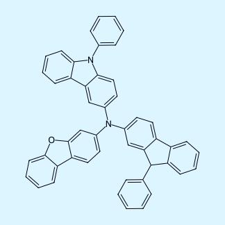 c1ccc(C2c3ccccc3-c3ccc(N(c4ccc5c(c4)oc4ccccc45)c4ccc5c(c4)c4ccccc4n5-c4ccccc4)cc32)cc1